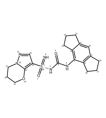 N=[S@](=O)(NC(=O)Nc1c2c(cc3c1CCC3)CCC2)c1cnn2c1OCCC2